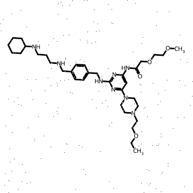 CCOCCN1CCN(c2cc(NC(=O)COCCOC)nc(NCc3ccc(CNCCCNC4CCCCC4)cc3)n2)CC1